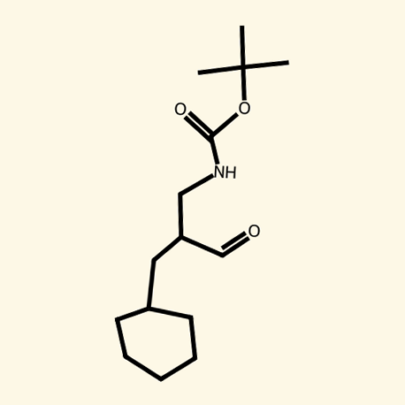 CC(C)(C)OC(=O)NCC(C=O)CC1CCCCC1